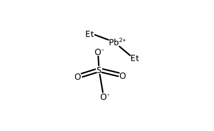 C[CH2][Pb+2][CH2]C.O=S(=O)([O-])[O-]